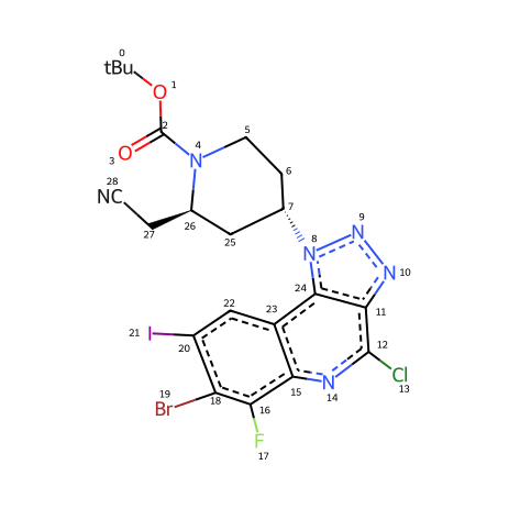 CC(C)(C)OC(=O)N1CC[C@H](n2nnc3c(Cl)nc4c(F)c(Br)c(I)cc4c32)C[C@H]1CC#N